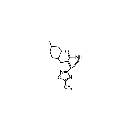 CC1CCC(Cc2c(-c3noc(C(F)(F)F)n3)cc[nH]c2=O)CC1